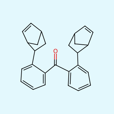 O=C(c1ccccc1C1CC2C=CC1C2)c1ccccc1C1CC2C=CC1C2